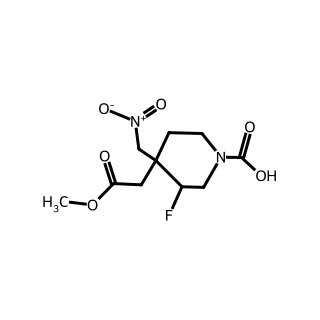 COC(=O)CC1(C[N+](=O)[O-])CCN(C(=O)O)CC1F